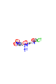 CS(=O)(=O)N1CCC(CC(=O)NC2CC3(C2)CC(c2nc4cc(Cl)ccc4o2)C3)CC1